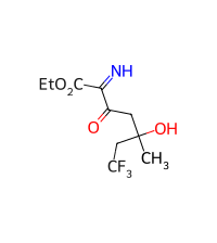 CCOC(=O)C(=N)C(=O)CC(C)(O)CC(F)(F)F